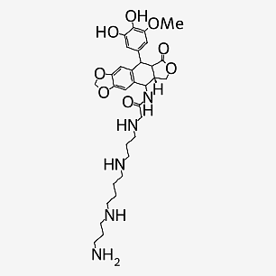 COc1cc(C2c3cc4c(cc3C(NC(=O)CNCCCNCCCCNCCCN)[C@H]3COC(=O)C23)OCO4)cc(O)c1O